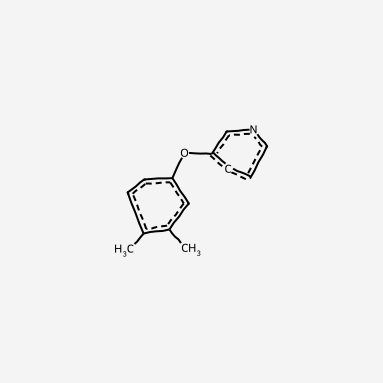 Cc1ccc(Oc2cccnc2)cc1C